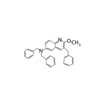 COc1nc2ccc(N(Cc3ccccc3)Cc3ccccc3)cc2cc1Cc1ccccc1